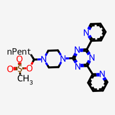 CCCCCC(OS(C)(=O)=O)N1CCN(c2nc(-c3ccccn3)nc(-c3ccccn3)n2)CC1